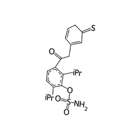 CC(C)c1ccc(C(=O)CC2=CC(=S)CC=C2)c(C(C)C)c1OS(N)(=O)=O